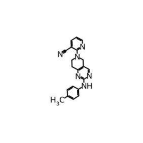 Cc1ccc(Nc2ncc3c(n2)CCN(c2ncccc2C#N)C3)cc1